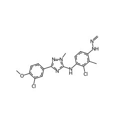 C=NNc1ccc(Nc2nc(-c3ccc(OC)c(Cl)c3)nn2C)c(Cl)c1C